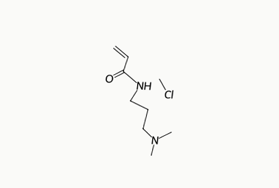 C=CC(=O)NCCCN(C)C.CCl